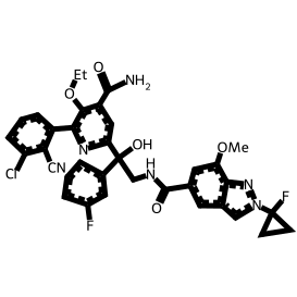 CCOc1c(C(N)=O)cc(C(O)(CNC(=O)c2cc(OC)c3nn(C4(F)CC4)cc3c2)c2cccc(F)c2)nc1-c1cccc(Cl)c1C#N